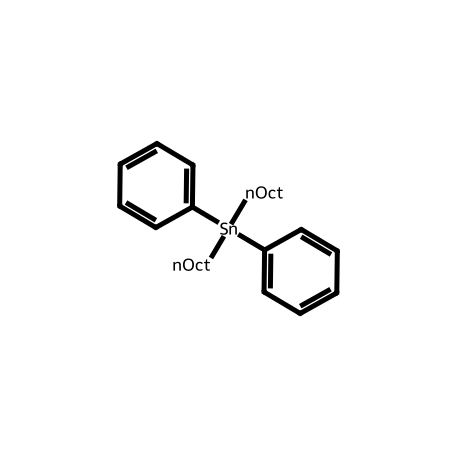 CCCCCCC[CH2][Sn]([CH2]CCCCCCC)([c]1ccccc1)[c]1ccccc1